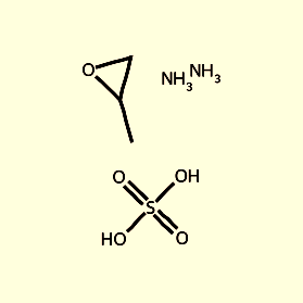 CC1CO1.N.N.O=S(=O)(O)O